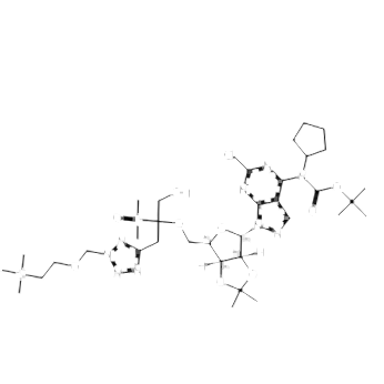 CC(C)(C)OC(=O)N(c1nc(Cl)nc2c1cnn2[C@@H]1O[C@H](COC(CO)(Cc2nnn(COCC[Si](C)(C)C)n2)P(C)(C)=O)[C@H]2OC(C)(C)O[C@H]21)C1CCCC1